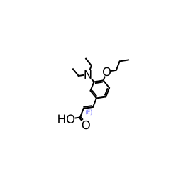 CCCOc1ccc(/C=C/C(=O)O)cc1N(CC)CC